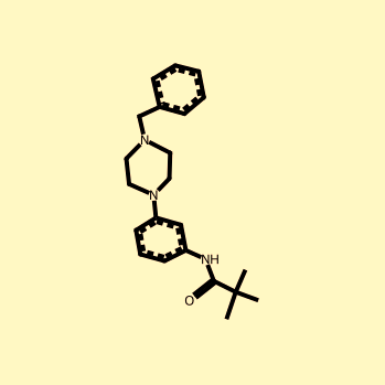 CC(C)(C)C(=O)Nc1cccc(N2CCN(Cc3ccccc3)CC2)c1